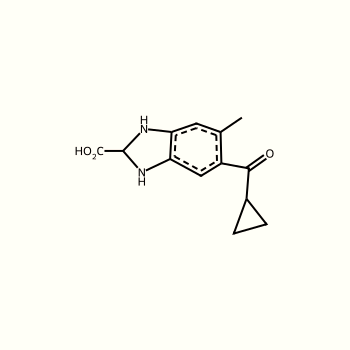 Cc1cc2c(cc1C(=O)C1CC1)NC(C(=O)O)N2